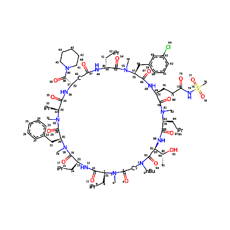 CCCCN1CC(=O)N(C)[C@@H](CC(C)C)C(=O)N[C@@H](CC(C)C)C(=O)N(C)[C@@H](Cc2ccccc2)C(=O)N(C)[C@@H](C(C)C)C(=O)N[C@H](C(=O)N2CCCCC2)CC(=O)N[C@H](CC(C)C)C(=O)N(C)[C@@H](Cc2cccc(Cl)c2)C(=O)N[C@@H](CCC(=O)NS(C)(=O)=O)C(=O)N(C)[C@@H](CC(C)C)C(=O)N[C@@H]([C@@H](C)O)C1=O